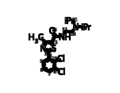 Cc1nc(-c2cccc(Cl)c2Cl)sc1C(=O)NCCN(C(C)C)C(C)C